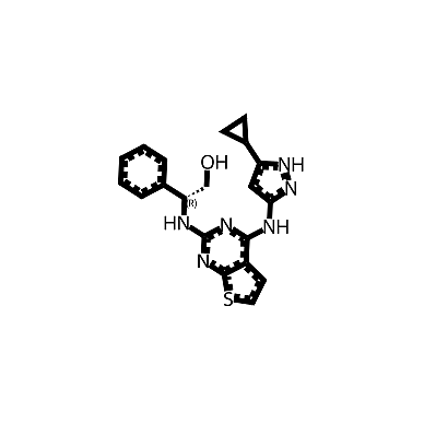 OC[C@H](Nc1nc(Nc2cc(C3CC3)[nH]n2)c2ccsc2n1)c1ccccc1